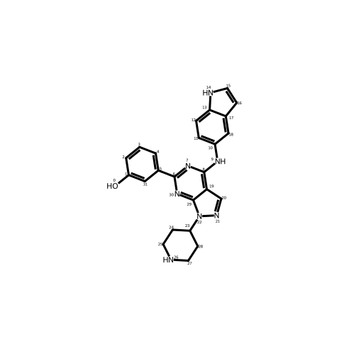 Oc1cccc(-c2nc(Nc3ccc4[nH]ccc4c3)c3cnn(C4CCNCC4)c3n2)c1